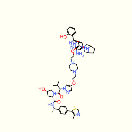 Cc1ncsc1-c1ccc([C@H](C)NC(=O)[C@@H]2C[C@@H](O)CN2C(=O)C(C(C)C)n2cc(OCCN3CCN(CCOc4cc(N5C6CCC5CN(c5cc(-c7ccccc7O)nnc5N)C6)ccn4)CC3)cn2)cc1